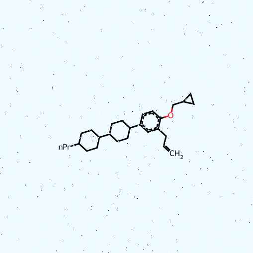 C=CCc1cc(C2CCC(C3CCC(CCC)CC3)CC2)ccc1OCC1CC1